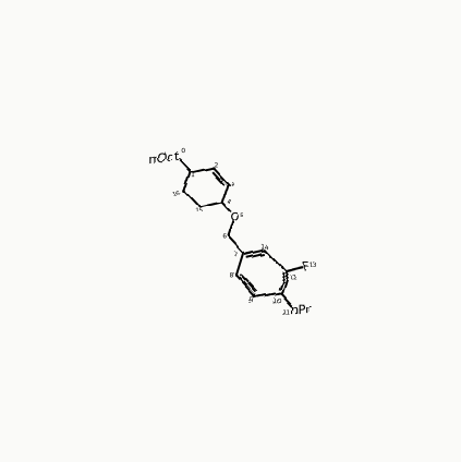 CCCCCCCCC1C=CC(OCc2ccc(CCC)c(F)c2)CC1